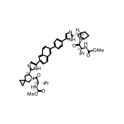 COC(=O)N[C@H](C(=O)N1CC2(CC2)C[C@H]1c1ncc(-c2ccc3cc(-c4ccc(-c5cnc([C@@H]6[C@H]7CCC(C7)N6C(=O)[C@@H](NC(=O)OC)C(C)C)[nH]5)cc4)ccc3c2)[nH]1)C(C)C